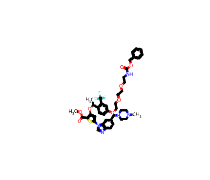 COC(=O)c1sc(-n2cnc3ccc(CN4CCN(C)CC4)cc32)cc1OC(C)c1ccc(OCCOCCOCCNC(=O)OCc2ccccc2)cc1C(F)(F)F